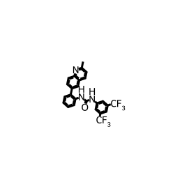 Cc1ccc2cc(-c3ccccc3NC(=O)Nc3cc(C(F)(F)F)cc(C(F)(F)F)c3)ccc2n1